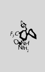 NC(=O)NC1CC(C2CCCCC2)C(CN2CCOCC2)CC(C(F)(F)F)C1